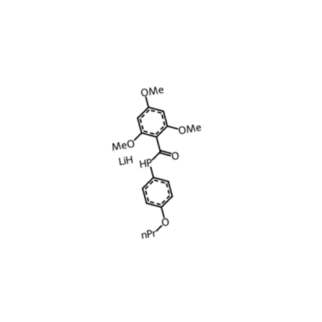 CCCOc1ccc(PC(=O)c2c(OC)cc(OC)cc2OC)cc1.[LiH]